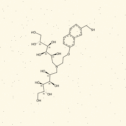 OC[C@@H](O)[C@@H](O)[C@H](O)[C@@H](O)CN(CCOc1ccc2ccc(CS)cc2c1)C[C@H](O)[C@@H](O)[C@H](O)[C@H](O)CO